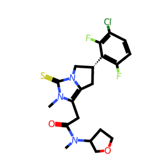 CN(C(=O)Cc1c2n(c(=S)n1C)C[C@H](c1c(F)ccc(Cl)c1F)C2)C1CCOC1